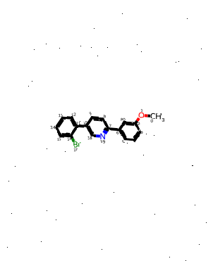 COc1cccc(-c2ccc(-c3ccccc3Br)cn2)c1